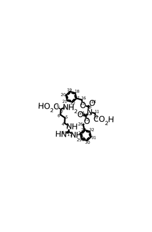 N=C(N)NCCC[C@H](N)C(=O)O.O=C(O)CN(C(=O)OCc1ccccc1)C(=O)OCc1ccccc1